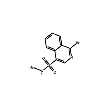 CC(C)(C)NS(=O)(=O)c1cnc(Br)c2ccccc12